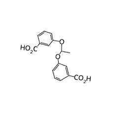 CC(Oc1cccc(C(=O)O)c1)Oc1cccc(C(=O)O)c1